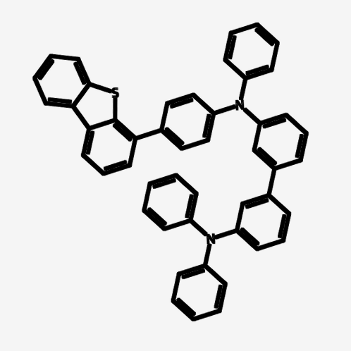 c1ccc(N(c2ccccc2)c2cccc(-c3cccc(N(c4ccccc4)c4ccc(-c5cccc6c5sc5ccccc56)cc4)c3)c2)cc1